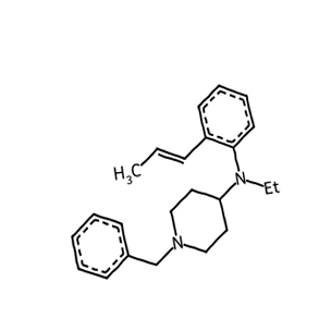 CC=Cc1ccccc1N(CC)C1CCN(Cc2ccccc2)CC1